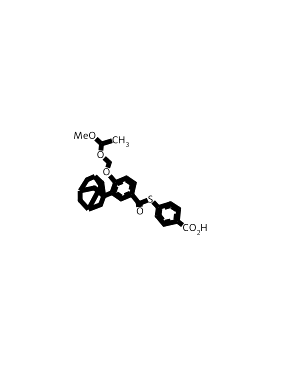 COC(C)OCOc1ccc(C(=O)Sc2ccc(C(=O)O)cc2)cc1C12CC3CC(CC(C3)C1)C2